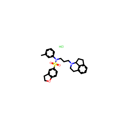 Cc1cccc(N(CCCN2CCc3cccc4c3C2CC4)S(=O)(=O)c2ccc3c(c2)CCO3)c1.Cl